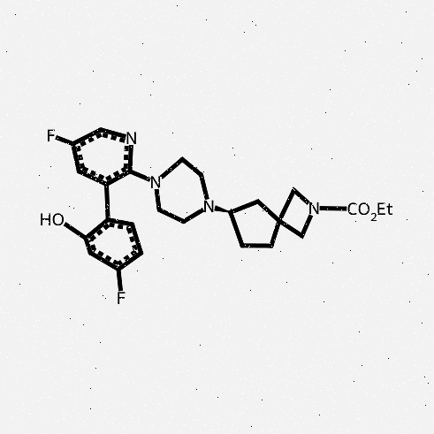 CCOC(=O)N1CC2(CC[C@@H](N3CCN(c4ncc(F)cc4-c4ccc(F)cc4O)CC3)C2)C1